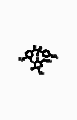 Cc1ccc(NS(=O)(=O)c2ccc([N+](=O)[O-])cc2)cc1C[C@H](NC(=O)OC(C)(C)C)C(=O)OC(C)(C)C